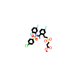 COC(=O)CCS(=O)(=O)CCc1cc(F)ccc1[C@@H](C)N(c1cc(F)ccc1F)S(=O)(=O)c1ccc(Cl)cc1